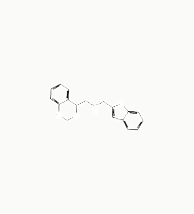 c1ccc2c(c1)OCOC2CNCc1cc2ccccc2s1